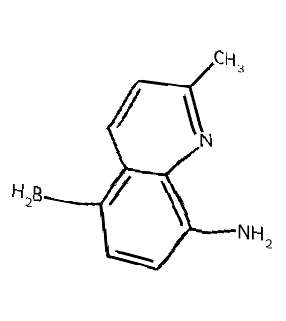 Bc1ccc(N)c2nc(C)ccc12